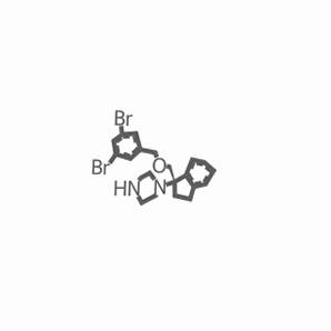 Brc1cc(Br)cc(COC[C@]2(N3CCNCC3)CCc3ccccc32)c1